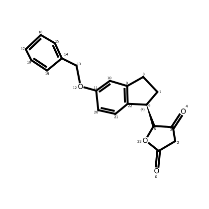 O=C1CC(=O)C([C@@H]2CCc3cc(OCc4ccccc4)ccc32)O1